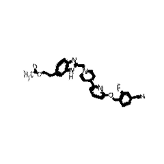 CC(=O)OCCc1ccc2nc(CN3CCC(c4cccc(OCc5ccc(C#N)cc5F)n4)CC3)[nH]c2c1